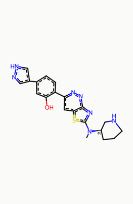 CN(c1nc2nnc(-c3ccc(-c4cn[nH]c4)cc3O)cc2s1)[C@@H]1CCCNC1